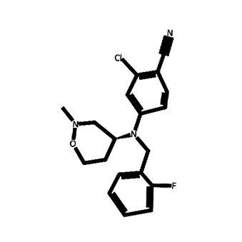 CN1C[C@@H](N(Cc2ccccc2F)c2ccc(C#N)c(Cl)c2)CCO1